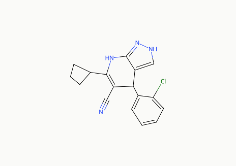 N#CC1=C(C2CCC2)Nc2n[nH]cc2C1c1ccccc1Cl